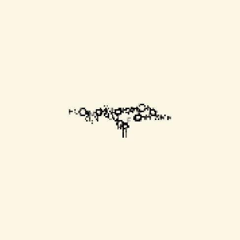 COc1ccc(CN2CCN(C3CC4(C3)CN(c3ccc(C(=O)NS(=O)(=O)c5ccc(NC[C@H]6CC[C@](C)(O)CC6)c([N+](=O)[O-])c5)c(Oc5cnc6[nH]cc(F)c6c5)c3)C4)[C@H](c3ccccc3C(C)C)C2)cc1